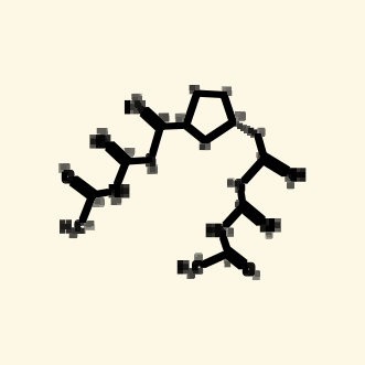 CC(=O)NC(=N)SC(=N)C[C@H]1CCC(C(=N)SC(=N)NC(C)=O)C1